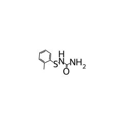 Cc1ccccc1SNC(N)=O